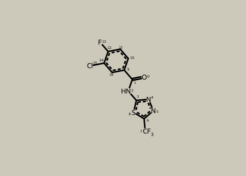 O=C(Nc1nnc(C(F)(F)F)s1)c1ccc(F)c(Cl)c1